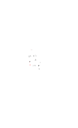 C[C@]12CC[C@@H](O)C[C@H]1C[C@@H](O)C1[C@@H]2C[C@H](O)[C@]2(C)[C@@H](CCCC(=O)O)CC[C@@H]12